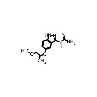 COCC(C)Oc1ccc2[nH]nc(NC(N)=S)c2c1